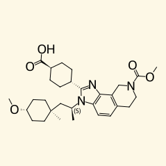 COC(=O)N1CCc2ccc3c(nc([C@H]4CC[C@H](C(=O)O)CC4)n3[C@@H](C)C[C@]3(C)CC[C@@H](OC)CC3)c2C1